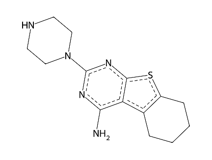 Nc1nc(N2CCNCC2)nc2sc3c(c12)CCCC3